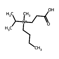 CCCC[N+](C)(CCC(=O)O)C(C)C